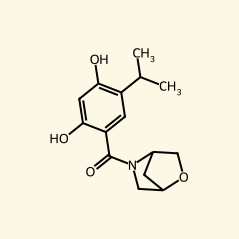 CC(C)c1cc(C(=O)N2CC3CC2CO3)c(O)cc1O